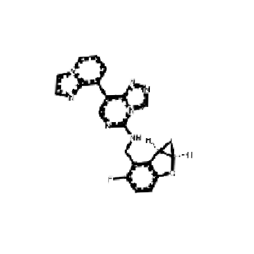 Fc1ccc2c(c1CNc1ncc(-c3cccn4ccnc34)c3nncn13)[C@H]1C[C@H]1O2